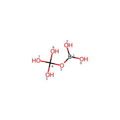 OB(O)OC(O)(O)O